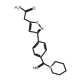 N=C(c1ccc(-c2cc(CC(N)=O)on2)cc1)N1CCCCC1